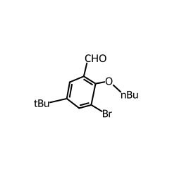 CCCCOc1c(Br)cc(C(C)(C)C)cc1C=O